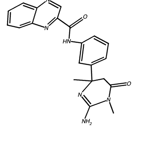 CN1C(=O)CC(C)(c2cccc(NC(=O)c3cnc4ccccc4n3)c2)N=C1N